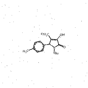 CCCCN1C(=O)C(O)=C(C(=O)OCC)C1c1ccc(C)cc1